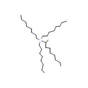 CCCCCCCC[N+](CCCCCCCC)(CCCCCCCC)C(C)CCCCCCC